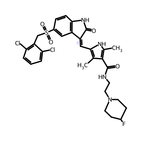 Cc1[nH]c(/C=C2\C(=O)Nc3ccc(S(=O)(=O)Cc4c(Cl)cccc4Cl)cc32)c(C)c1C(=O)NCCN1CCC(F)CC1